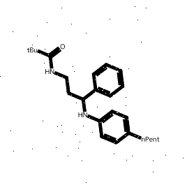 CCCCCc1ccc(NC(CCNC(=O)C(C)(C)C)c2ccccc2)cc1